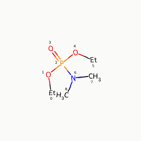 CCOP(=O)(OCC)N(C)C